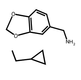 CCC1CC1.NCc1ccc2c(c1)OCO2